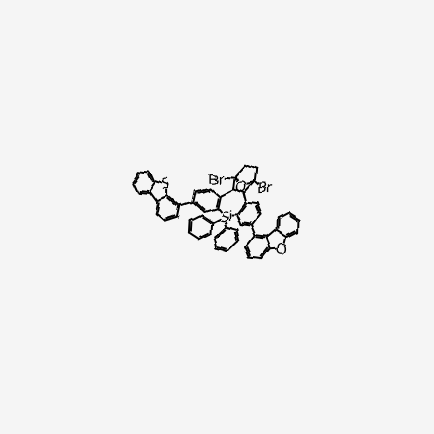 BrC12CCC(Br)(O1)C1c3ccc(-c4cccc5oc6ccccc6c45)cc3[Si](c3ccccc3)(c3ccccc3)c3cc(-c4cccc5c4sc4ccccc45)ccc3C12